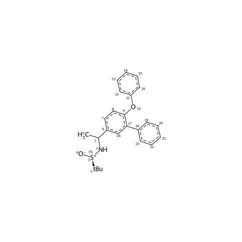 CC(N[S@+]([O-])C(C)(C)C)c1ccc(Oc2ccccc2)c(-c2ccccc2)c1